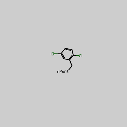 CCCCCCc1cc(Cl)ccc1Cl